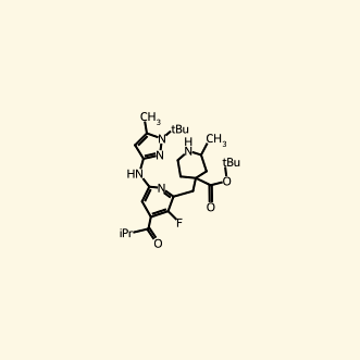 Cc1cc(Nc2cc(C(=O)C(C)C)c(F)c(CC3(C(=O)OC(C)(C)C)CCNC(C)C3)n2)nn1C(C)(C)C